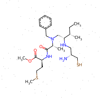 CC[C@H](C)[C@@H](CN(Cc1ccccc1)[C@H](C)C(=O)N[C@@H](CCSC)C(=O)OC)NC[C@@H](N)CS